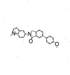 COc1ccc(-c2ccc3c(c2)C(=O)N(c2ccc4c(ccn4C)c2)C3)cc1